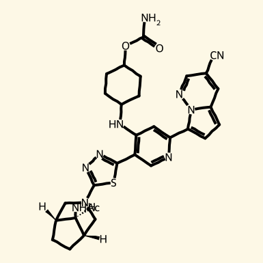 CC(=O)N[C@@H]1[C@@H]2CC[C@H]1CN(c1nnc(-c3cnc(-c4ccc5cc(C#N)cnn45)cc3NC3CCC(OC(N)=O)CC3)s1)C2